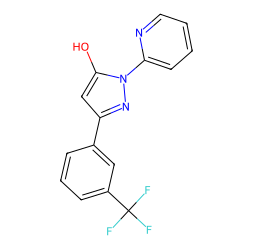 Oc1cc(-c2cccc(C(F)(F)F)c2)nn1-c1ccccn1